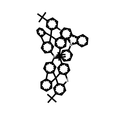 CC(C)(C)c1ccc2c(c1)C1(c3cc(C(C)(C)C)ccc3O2)c2ccccc2-c2ccc(N(c3cccc(-n4c5ccccc5c5ccccc54)c3)c3ccc4c(c3)C3(c5cc(C(C)(C)C)ccc5Sc5ccc(C(C)(C)C)cc53)c3ccccc3-4)cc21